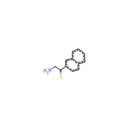 NCC(=S)c1ccc2ccccc2c1